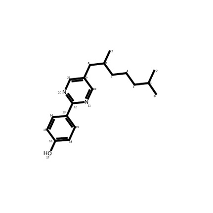 CC(C)CCCC(C)Cc1cnc(-c2ccc(O)cc2)nc1